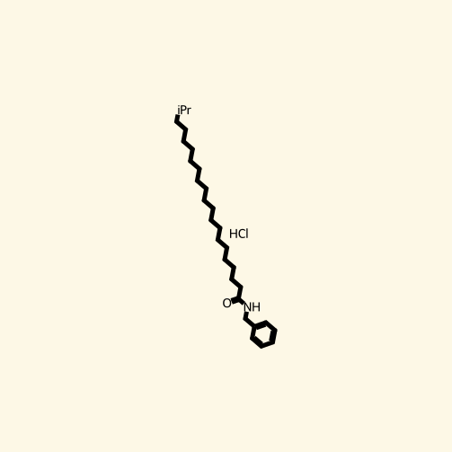 CC(C)CCCCCCCCCCCCCCCCCCC(=O)NCc1ccccc1.Cl